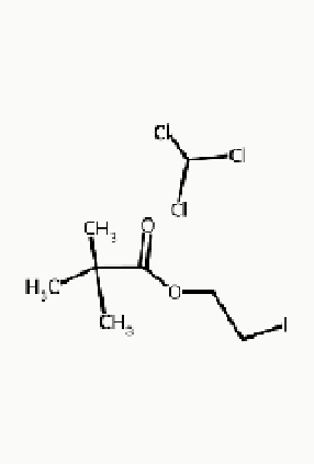 CC(C)(C)C(=O)OCCI.ClC(Cl)Cl